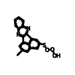 Cc1cc2c3c(cc(SOOO)cc3c1)-c1nc3ccccc3nc1-2